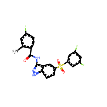 O=C(Nc1n[nH]c2ccc(S(=O)(=O)c3cc(F)cc(F)c3)cc12)c1ccc(F)cc1[N+](=O)[O-]